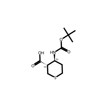 CC(C)(C)OC(=O)N[C@H]1CCSC[C@@H]1C(=O)O